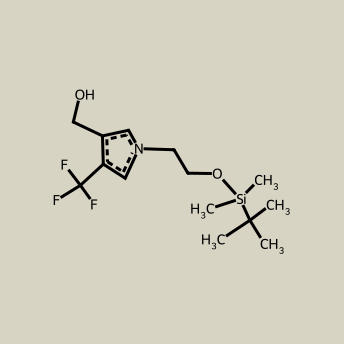 CC(C)(C)[Si](C)(C)OCCn1cc(CO)c(C(F)(F)F)c1